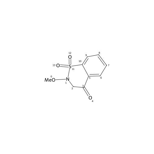 CON1CC(=O)c2ccccc2S1(=O)=O